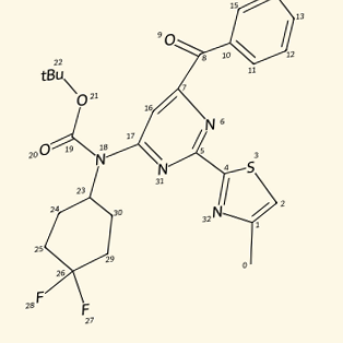 Cc1csc(-c2nc(C(=O)c3ccccc3)cc(N(C(=O)OC(C)(C)C)C3CCC(F)(F)CC3)n2)n1